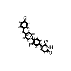 O=C1CCC(c2ccc(N3CCC(Cc4ccc(Cl)cc4)CC3)c(F)c2)C(=O)N1